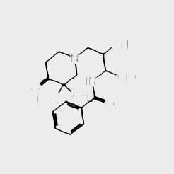 CC(CN1CCC(=O)C(C)(C)C1)C(C=O)NC(=O)c1ccccc1